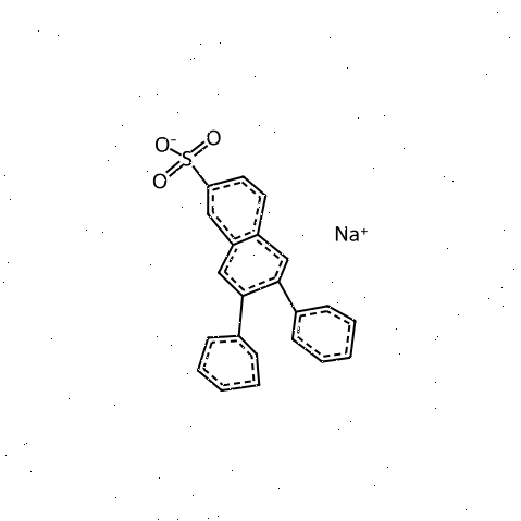 O=S(=O)([O-])c1ccc2cc(-c3ccccc3)c(-c3ccccc3)cc2c1.[Na+]